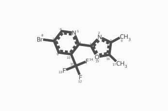 Cc1nc(-c2ncc(Br)cc2C(F)(F)F)oc1C